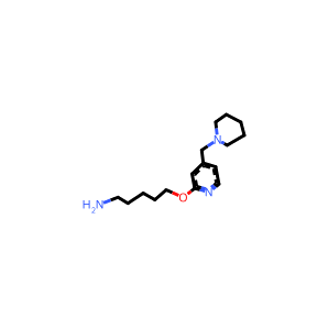 NCCCCCOc1cc(CN2CCCCC2)ccn1